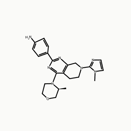 C[C@H]1COCCN1c1nc(-c2ccc(N)cc2)nc2c1CCN(c1nccn1C)C2